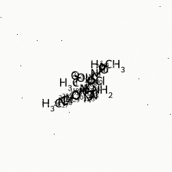 CC(=O)O.Cc1ccc(CNc2ccc(-c3nn(C4CCC(N5CCN(C)CC5)CC4)c4ncnc(N)c34)cc2Cl)o1